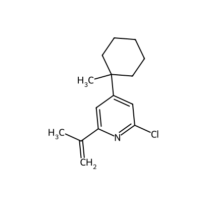 C=C(C)c1cc(C2(C)CCCCC2)cc(Cl)n1